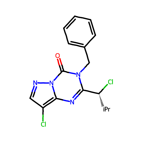 CC(C)[C@@H](Cl)c1nc2c(Cl)cnn2c(=O)n1Cc1ccccc1